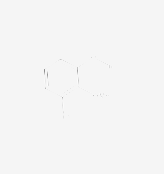 [CH2]C(C)c1cccc(OCCC)c1OC